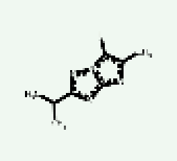 Cc1nc2sc(C(C)C)nn2c1I